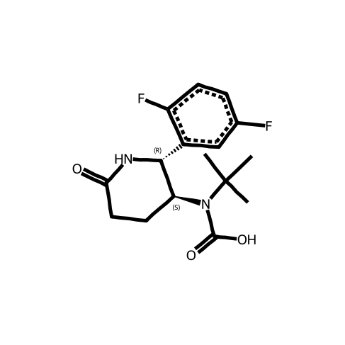 CC(C)(C)N(C(=O)O)[C@H]1CCC(=O)N[C@@H]1c1cc(F)ccc1F